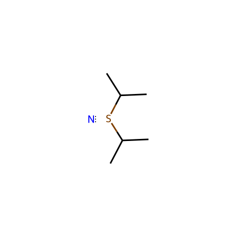 CC(C)SC(C)C.[N]